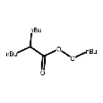 CCCCOOC(=O)C(CCCC)CCCC